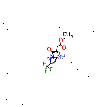 CCOC(=O)Cc1c[nH]c2cc(C(F)(F)F)nn2c1=O